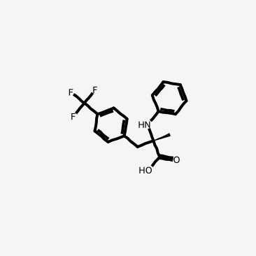 C[C@@](Cc1ccc(C(F)(F)F)cc1)(Nc1ccccc1)C(=O)O